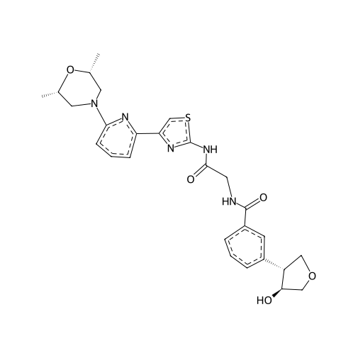 C[C@@H]1CN(c2cccc(-c3csc(NC(=O)CNC(=O)c4cccc([C@@H]5COC[C@H]5O)c4)n3)n2)C[C@H](C)O1